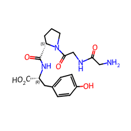 NCC(=O)NCC(=O)N1CCC[C@H]1C(=O)N[C@H](Cc1ccc(O)cc1)C(=O)O